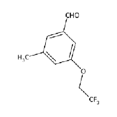 Cc1cc(C=O)cc(OCC(F)(F)F)c1